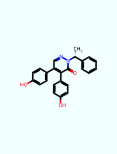 C[C@H](c1ccccc1)n1ncc(-c2ccc(O)cc2)c(-c2ccc(O)cc2)c1=O